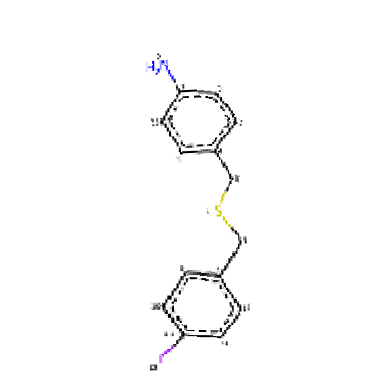 Nc1ccc(CSCc2ccc(I)cc2)cc1